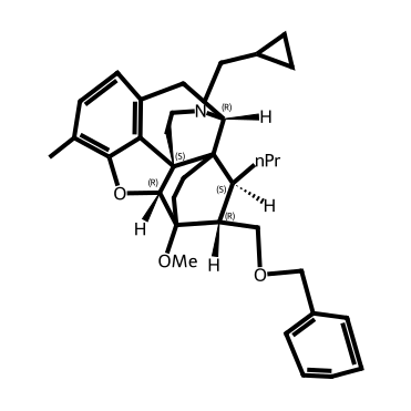 CCC[C@H]1[C@H](COCc2ccccc2)C2(OC)CCC13[C@H]1Cc4ccc(C)c5c4[C@@]3(CCN1CC1CC1)[C@H]2O5